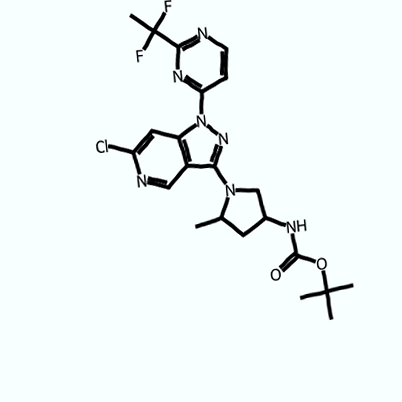 CC1CC(NC(=O)OC(C)(C)C)CN1c1nn(-c2ccnc(C(C)(F)F)n2)c2cc(Cl)ncc12